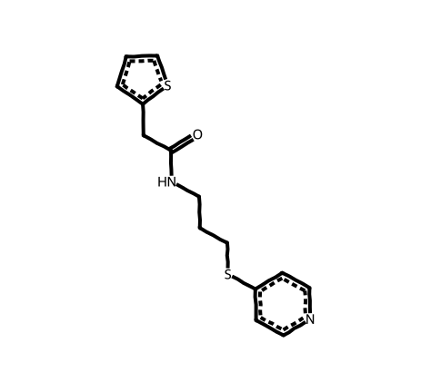 O=C(Cc1cccs1)NCCCSc1ccncc1